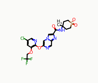 CC1(NC(=O)c2cn3cc(Oc4ncc(Cl)cc4OCC(F)(F)F)ncc3n2)CCS(=O)(=O)CC1